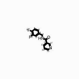 O=C(NCc1ccc(F)c(F)c1)c1cccnc1